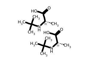 C[C@H](NC(C)(C)C)C(=O)O.C[C@H](NC(C)(C)C)C(=O)O